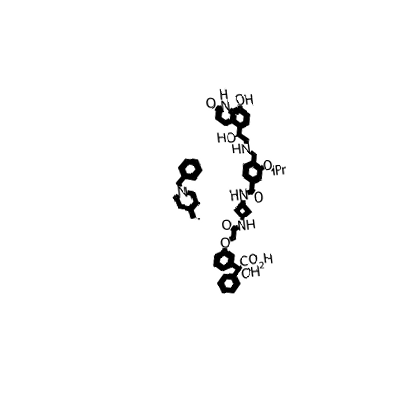 CC(C)Oc1cc(C(=O)NC2CC(NC(=O)COc3cccc([C@](O)(C(=O)O)c4ccccc4)c3)C2)ccc1CNC[C@H](O)c1ccc(O)c2[nH]c(=O)ccc12.[CH2]C1CCN(Cc2ccccc2)CC1